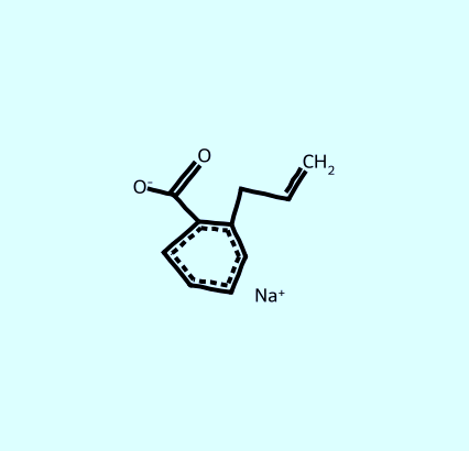 C=CCc1ccccc1C(=O)[O-].[Na+]